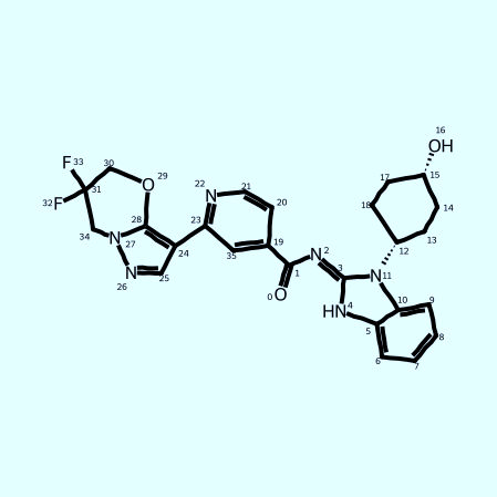 O=C(/N=c1\[nH]c2ccccc2n1[C@H]1CC[C@@H](O)CC1)c1ccnc(-c2cnn3c2OCC(F)(F)C3)c1